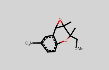 COCC1(C)Oc2ccc([N+](=O)[O-])cc2C2OC21C